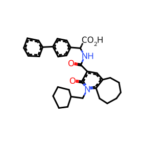 O=C(NC(C(=O)O)c1ccc(-c2ccccc2)cc1)c1cc2c(n(CC3CCCCC3)c1=O)CCCCCC2